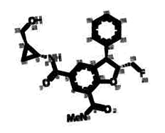 CNC(=O)c1cc(C(=O)N[C@@H]2C[C@H]2CO)cc2c1O[C@@H](CF)[C@@H]2c1ccccc1